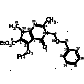 CCOC(=O)c1c(OC(C)C)c2c(=O)n(COCc3ccccc3)c(C)nc2n1C